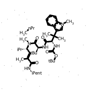 CCCC.CCC[C@@H](C)NC(=O)/C(C)=C/[C@H](C(C)C)N(C)C(=O)[C@@H](NC(=O)[C@@H](NC(=O)OC(C)(C)C)C(C)(C)c1cn(C)c2ccccc12)C(C)(C)C